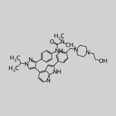 CC(C)n1cc(-c2ccnc3[nH]c(-c4ccc(CN5CCN(CCO)CC5)cc4)cc23)c(-c2ccc(NC(=O)N(C)C)cc2)n1